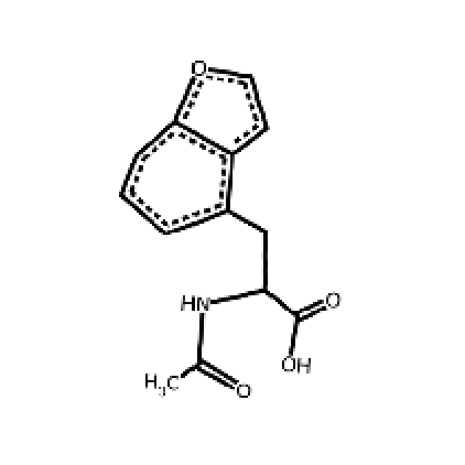 CC(=O)NC(Cc1cccc2occc12)C(=O)O